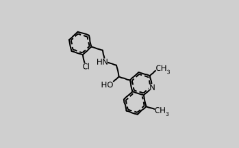 Cc1cc(C(O)CNCc2ccccc2Cl)c2cccc(C)c2n1